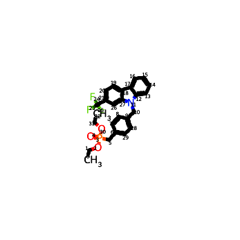 CCOP(=O)(Cc1ccc(Cn2c3ccccc3c3ccc(C(F)(F)F)cc32)cc1)OCC